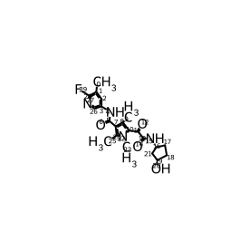 Cc1cc(NC(=O)c2c(C)c(C(=O)C(=O)N[C@@H]3CC[C@@H](O)C3)n(C)c2C)cnc1F